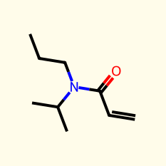 C=CC(=O)N(CCC)C(C)C